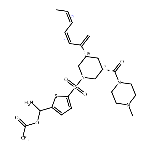 C=C(/C=C\C=C/C)[C@@H]1C[C@H](C(=O)N2CCN(C)CC2)CN(S(=O)(=O)c2ccc(C(N)OC(=O)C(F)(F)F)s2)C1